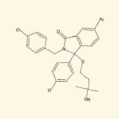 CC(=O)c1ccc2c(c1)C(=O)N(Cc1ccc(Cl)cc1)C2(OCCC(C)(C)O)c1ccc(Cl)cc1